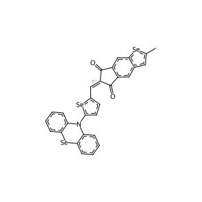 Cc1cc2cc3c(cc2[se]1)C(=O)/C(=C/c1ccc(N2c4ccccc4[Se]c4ccccc42)[se]1)C3=O